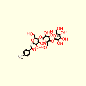 N#Cc1ccc(C(=O)C[C@@H]2OC(CO)[C@@H](O[C@H]3OC(CO)[C@@H](OC4=C(O)C(O)[C@H](O)C(CO)O4)C(O)C3O)C(O)C2O)cc1